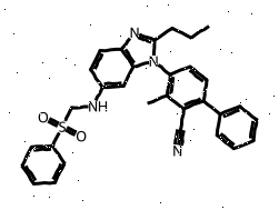 CCCc1nc2ccc(NCS(=O)(=O)c3ccccc3)cc2n1-c1ccc(-c2ccccc2)c(C#N)c1C